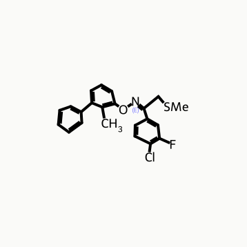 CSC/C(=N/Oc1cccc(-c2ccccc2)c1C)c1ccc(Cl)c(F)c1